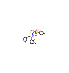 Cc1ccc(S(=O)(=O)N2CCS/C2=N\C(Cc2cccc(C)c2)c2cccc(C)c2C)cc1